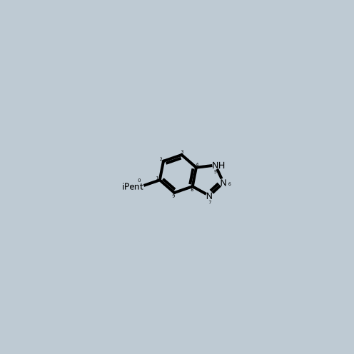 CCCC(C)c1ccc2[nH]nnc2c1